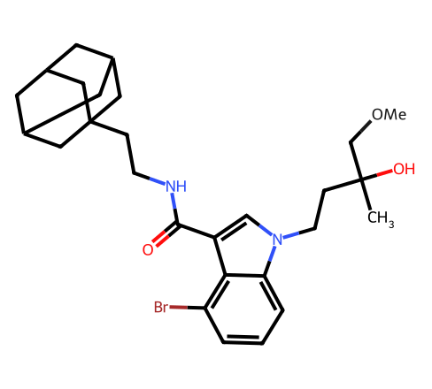 COCC(C)(O)CCn1cc(C(=O)NCCC23CC4CC(CC(C4)C2)C3)c2c(Br)cccc21